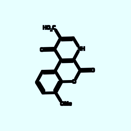 COc1cccc2c1oc(=O)c1[nH]cc(C(=O)O)c(=O)c12